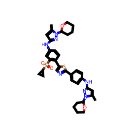 Cc1cc(Nc2ccc(-c3ncc(-c4ccc(Nc5cc(C)n(C6CCCCO6)n5)cc4S(=O)(=O)C4CC4)s3)cc2)nn1C1CCCCO1